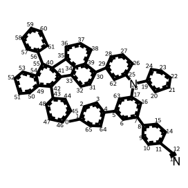 Cc1ccc(-c2cc(-c3ccc(C#N)cc3)cc(N(c3ccccc3)c3cccc(-c4ccc5c6c(cccc46)-c4c-5c(-c5ccccc5)c5ccccc5c4-c4ccccc4)c3)c2)cc1